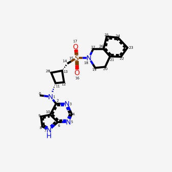 CN(c1ncnc2[nH]ccc12)[C@H]1C[C@@H](CS(=O)(=O)N2CCc3ccccc3C2)C1